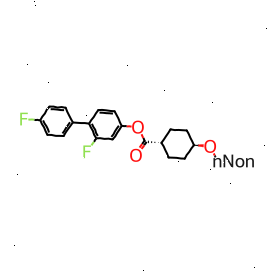 CCCCCCCCCO[C@H]1CC[C@H](C(=O)Oc2ccc(-c3ccc(F)cc3)c(F)c2)CC1